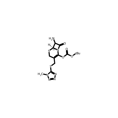 Cn1nnnc1SCC1=C(OC(=O)OC(C)(C)C)N2C(=O)C(N)[C@@H]2SC1